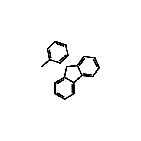 Cc1ccccc1.c1ccc2c(c1)Cc1ccccc1-2